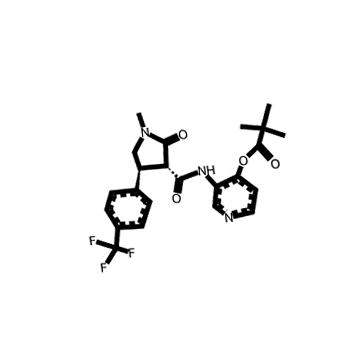 CN1C[C@H](c2ccc(C(F)(F)F)cc2)[C@@H](C(=O)Nc2cnccc2OC(=O)C(C)(C)C)C1=O